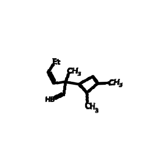 B=CC(C)(/C=C\CC)C1CC(C)C1C